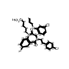 C=CCOc1cc(Cl)ccc1[C@H]1C(=O)N(CCCCC(=O)O)c2ccc(I)cc2C(=O)N1CCc1ccc(Cl)cc1